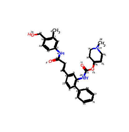 Cc1cc(NC(=O)CCc2ccc(-c3ccccc3)c(NC(=O)OC3CCN(C)CC3)c2)ccc1CO